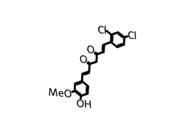 COc1cc(/C=C/C(=O)CC(=O)/C=C/c2ccc(Cl)cc2Cl)ccc1O